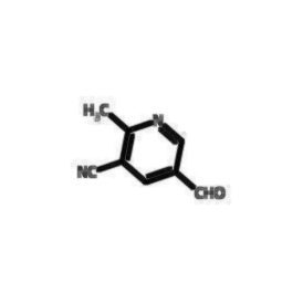 Cc1ncc(C=O)cc1C#N